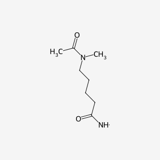 CC(=O)N(C)CCCCC([NH])=O